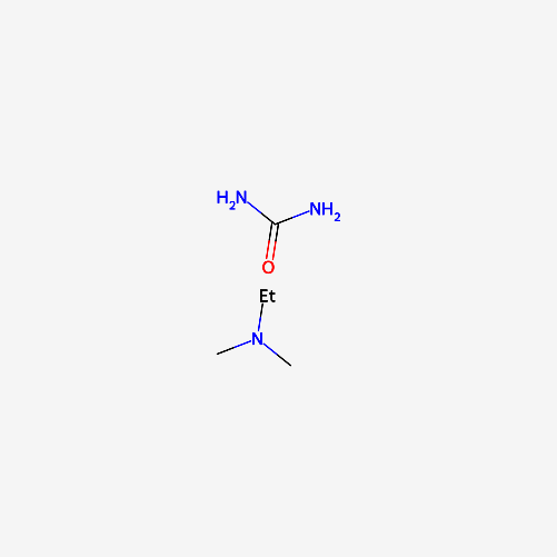 NC(N)=O.[CH2]CN(C)C